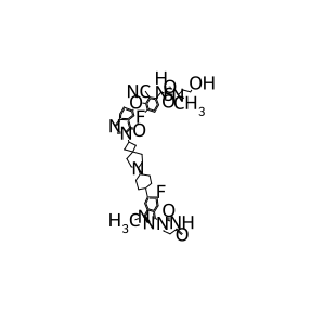 CN(CCO)S(=O)(=O)Nc1ccc(F)c(Oc2ccc3ncn(C4CC5(CCN(C6CCC(c7cc8c(cc7F)c(N7CCC(=O)NC7=O)nn8C)CC6)CC5)C4)c(=O)c3c2)c1C#N